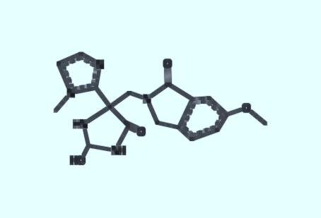 COc1ccc2c(c1)C(=O)N(CC1(c3nccn3C)NC(O)NC1=O)C2